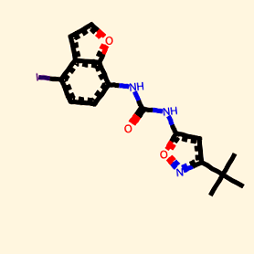 CC(C)(C)c1cc(NC(=O)Nc2ccc(I)c3ccoc23)on1